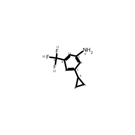 Nc1cc(C2CC2)cc(C(F)(F)F)c1